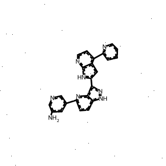 Nc1cncc(-c2ccc3[nH]nc(-c4cc5c(-c6ccccn6)ccnc5[nH]4)c3n2)c1